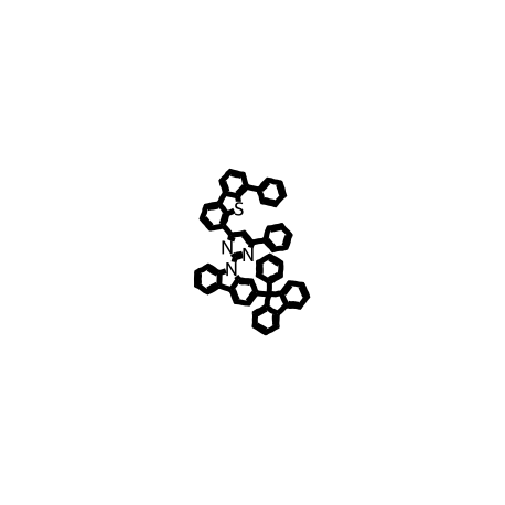 c1ccc(-c2cc(-c3cccc4c3sc3c(-c5ccccc5)cccc34)nc(-n3c4ccccc4c4ccc(C5(c6ccccc6)c6ccccc6-c6ccccc65)cc43)n2)cc1